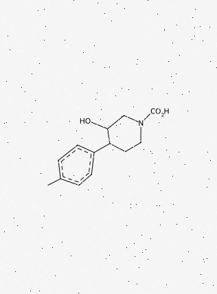 Cc1ccc(C2CCN(C(=O)O)CC2O)cc1